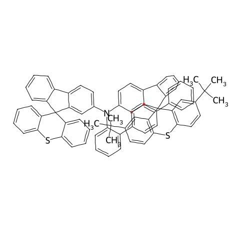 CC(C)(C)c1ccc2c(c1)C1(c3cc(C(C)(C)C)ccc3S2)c2ccccc2-c2ccc(N(c3ccc4c(c3)C3(c5ccccc5Sc5ccccc53)c3ccccc3-4)c3ccccc3-c3ccc(-c4ccccc4)cc3)cc21